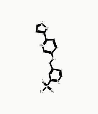 CCS(=O)(=O)c1cc(COc2ccc(-c3ccn[nH]3)nc2)ccn1